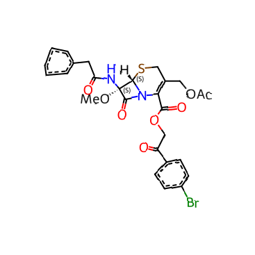 CO[C@@]1(NC(=O)Cc2ccccc2)C(=O)N2C(C(=O)OCC(=O)c3ccc(Br)cc3)=C(COC(C)=O)CS[C@H]21